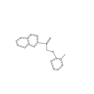 Cc1cc[c]cc1OCC(=O)c1ccc2ccccc2c1